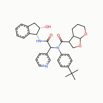 CC(C)(C)c1ccc(N(C(=O)C2COC3OCCCC32)C(C(=O)N[C@@H]2c3ccccc3C[C@@H]2O)c2cccnc2)cc1